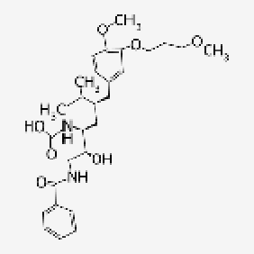 COCCCOc1cc(C[C@@H](C[C@H](NC(=O)O)[C@@H](O)CNC(=O)c2ccccc2)C(C)C)ccc1OC